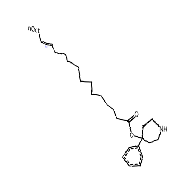 CCCCCCCC/C=C/CCCCCCCCCCCC(=O)OC1(c2ccccc2)CCNCC1